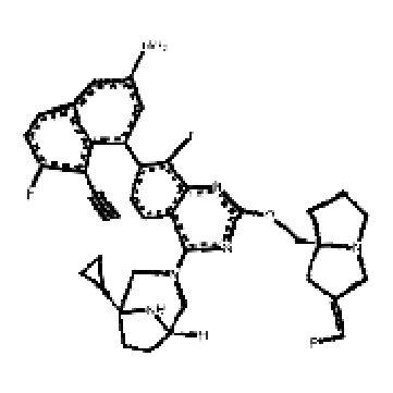 C#Cc1c(F)ccc2cc(N)cc(-c3ccc4c(N5C[C@@H]6CC[C@](C7CC7)(C5)N6)nc(OC[C@@]56CCCN5C/C(=C/F)C6)nc4c3F)c12